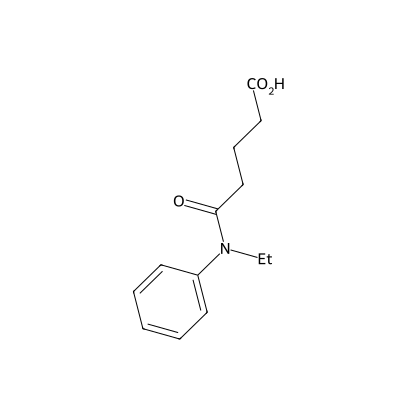 CCN(C(=O)CCCC(=O)O)c1ccccc1